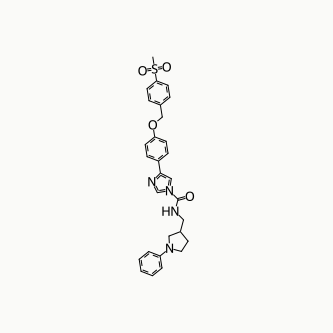 CS(=O)(=O)c1ccc(COc2ccc(-c3cn(C(=O)NCC4CCN(c5ccccc5)C4)cn3)cc2)cc1